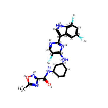 Cc1nc(C(=O)N[C@@H]2CCC[C@H](Nc3nc(-c4c[nH]c5c(F)cc(F)cc45)ncc3F)C2)no1